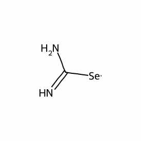 N=C(N)[Se]